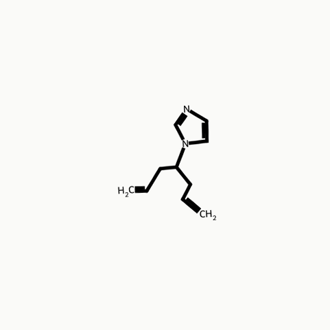 C=CCC(CC=C)n1ccnc1